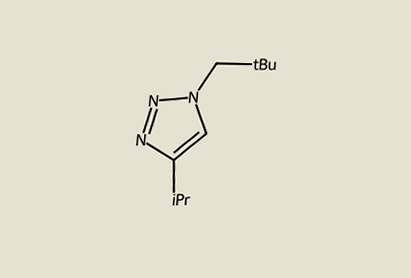 CC(C)c1cn(CC(C)(C)C)nn1